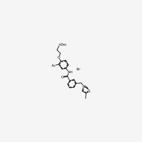 CCCCCCCCCCCCOc1ccc(NC(=O)c2cccc(C[n+]3csc(C)c3)c2)cc1C(C)=O.[Br-]